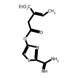 CC=C(CC(=O)Oc1csc(C(=N)N)n1)C(=O)OCC